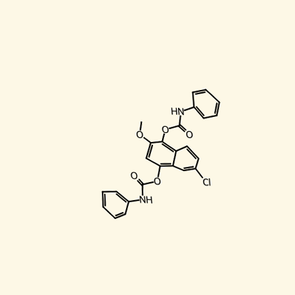 COc1cc(OC(=O)Nc2ccccc2)c2cc(Cl)ccc2c1OC(=O)Nc1ccccc1